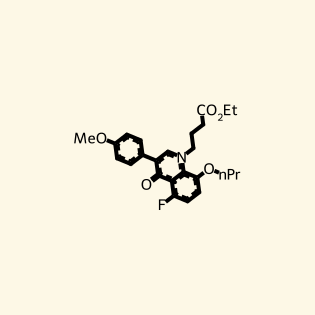 CCCOc1ccc(F)c2c(=O)c(-c3ccc(OC)cc3)cn(CCCC(=O)OCC)c12